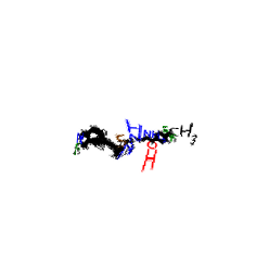 CC(F)(F)c1ccc([C@H](O)[C@H](N)CNc2ncc(-c3ccc4cnc(F)cc4c3)s2)cc1